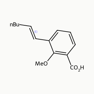 CCCC/C=C/c1cccc(C(=O)O)c1OC